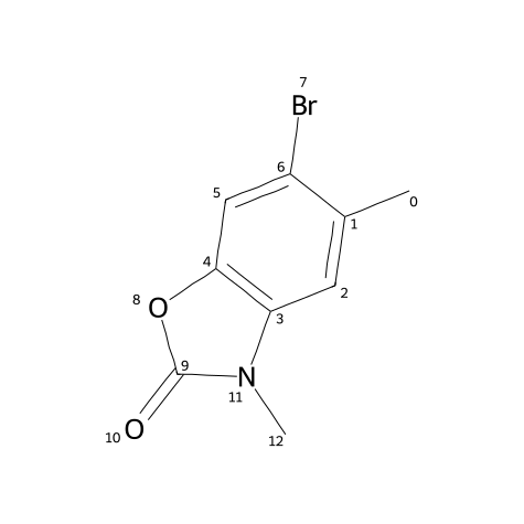 Cc1cc2c(cc1Br)oc(=O)n2C